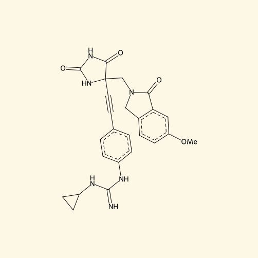 COc1ccc2c(c1)C(=O)N(CC1(C#Cc3ccc(NC(=N)NC4CC4)cc3)NC(=O)NC1=O)C2